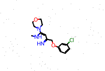 CN/C(=C\C(=N)COc1cccc(Cl)c1)N1CCOCC1